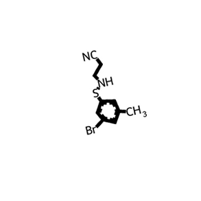 Cc1cc(Br)cc(SNCCC#N)c1